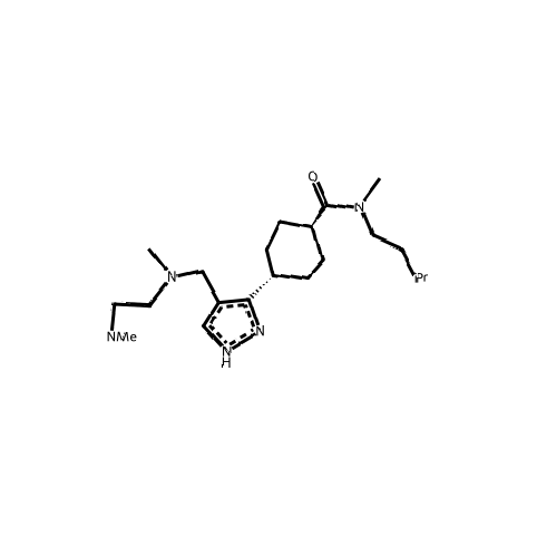 CNCCN(C)Cc1c[nH]nc1[C@H]1CC[C@H](C(=O)N(C)CCC(C)C)CC1